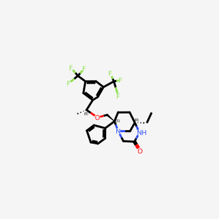 CC[C@]12CC[C@@](CO[C@H](C)c3cc(C(F)(F)F)cc(C(F)(F)F)c3)(c3ccccc3)N(CC(=O)N1)C2